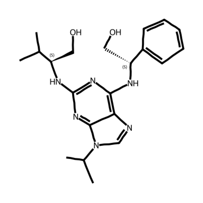 CC(C)[C@@H](CO)Nc1nc(N[C@H](CO)c2ccccc2)c2ncn(C(C)C)c2n1